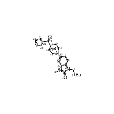 Cn1c(=O)n(CC(C)(C)C)c2ccc(N3CC4CCC3CN4C(=O)c3cncs3)nc21